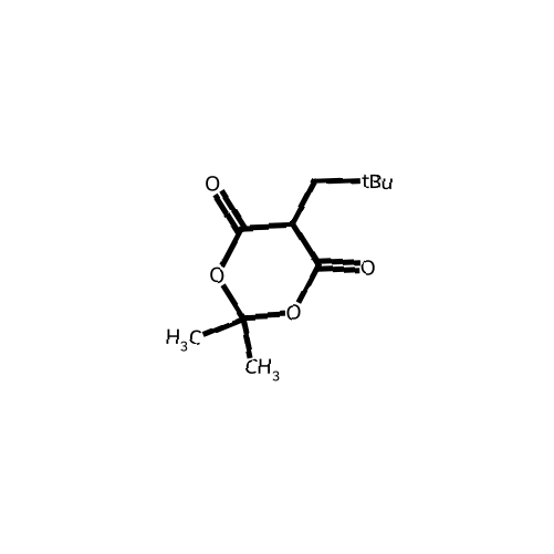 CC(C)(C)CC1C(=O)OC(C)(C)OC1=O